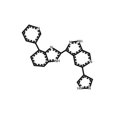 c1cncc(-c2cccc3[nH]c(-c4n[nH]c5cnc(-c6cn[nH]c6)cc45)nc23)c1